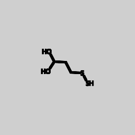 OC(O)CCSS